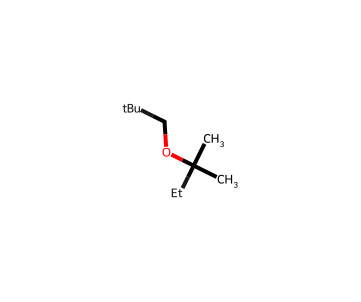 [CH2]C(C)(C)COC(C)(C)CC